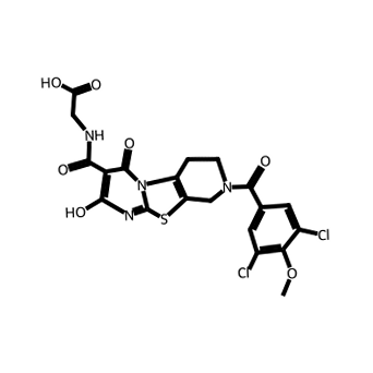 COc1c(Cl)cc(C(=O)N2CCc3c(sc4nc(O)c(C(=O)NCC(=O)O)c(=O)n34)C2)cc1Cl